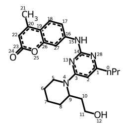 CCCc1cc(N2CCCCC2CCO)nc(Nc2ccc3c(C)cc(=O)oc3c2)n1